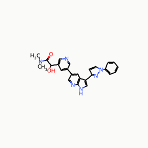 CN(C)C(=O)C(O)c1cncc(-c2cnc3[nH]cc(-c4ccn(-c5ccccc5)n4)c3c2)c1